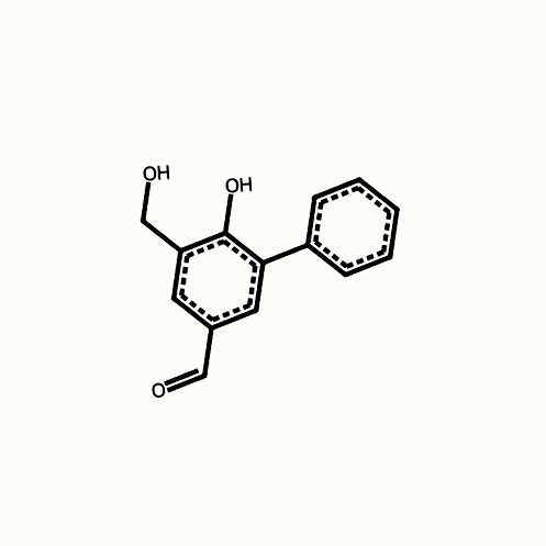 O=Cc1cc(CO)c(O)c(-c2ccccc2)c1